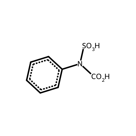 O=C(O)N(c1ccccc1)S(=O)(=O)O